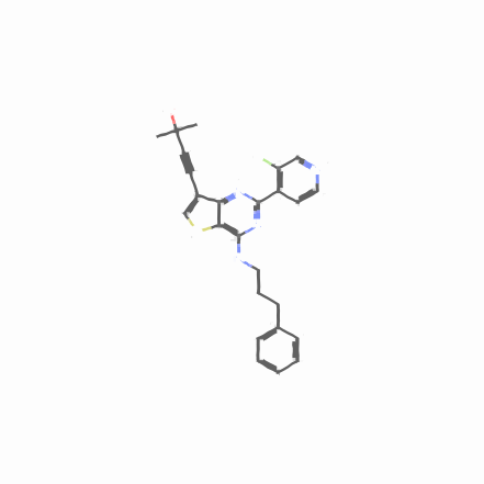 CC(C)(O)C#Cc1csc2c(NCCCc3ccccc3)nc(-c3ccncc3F)nc12